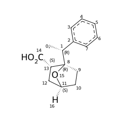 [CH2][C@H](c1ccccc1)[C@]12CC[C@@H](C[C@@H]1C(=O)O)O2